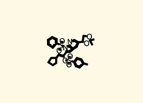 Cc1ccc(S(=O)(=O)O/C(=C\C2CCCC2)c2cc3cc(C4COC(C)(C)O4)cnc3n2S(=O)(=O)c2ccccc2)cc1